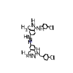 Cc1cc(/N=N/Nc2ccc(C(=N)NCc3ccc(Cl)cc3)c(C)c2)ccc1C(=N)NCc1ccc(Cl)cc1